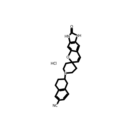 Cl.N#Cc1ccc2c(c1)CCC(N1CCC3(C=Cc4cc5[nH]c(=O)[nH]c5cc4O3)CC1)C2